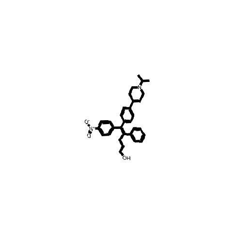 CC(C)N1CCC(c2ccc(/C(=C(/CCCO)c3ccccc3)c3ccc([N+](=O)[O-])cc3)cc2)CC1